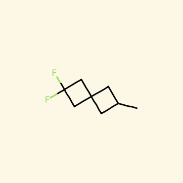 CC1CC2(C1)CC(F)(F)C2